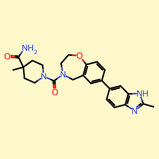 Cc1nc2ccc(-c3ccc4c(c3)CN(C(=O)N3CCC(C)(C(N)=O)CC3)CCO4)cc2[nH]1